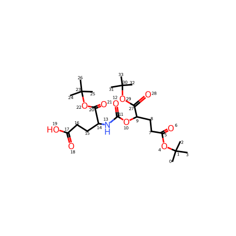 CC(C)(C)OC(=O)CCC(OC(=O)NC(CCC(=O)O)C(=O)OC(C)(C)C)C(=O)OC(C)(C)C